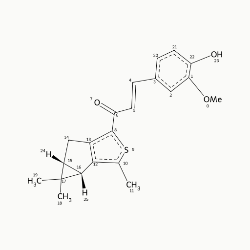 COc1cc(/C=C/C(=O)c2sc(C)c3c2C[C@@H]2[C@H]3C2(C)C)ccc1O